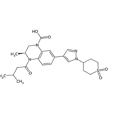 CC(C)CC(=O)N1c2ccc(-c3cnn(C4CCS(=O)(=O)CC4)c3)cc2N(C(=O)O)C[C@@H]1C